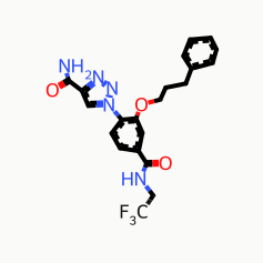 NC(=O)c1cn(-c2ccc(C(=O)NCC(F)(F)F)cc2OCCCc2ccccc2)nn1